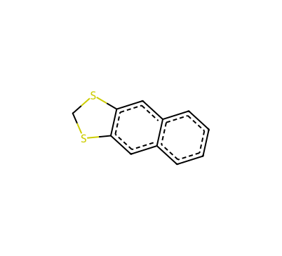 c1ccc2cc3c(cc2c1)SCS3